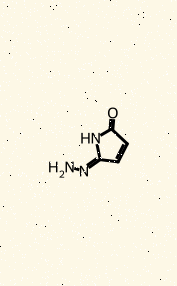 NN=C1C=CC(=O)N1